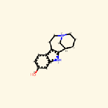 Oc1ccc2c3c([nH]c2c1)C1CCCN(CC3)C1